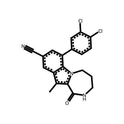 Cc1c2n(c3c(-c4ccc(Cl)c(Cl)c4)cc(C#N)cc13)CCCNC2=O